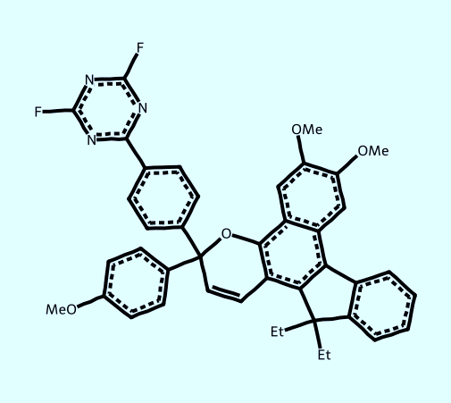 CCC1(CC)c2ccccc2-c2c1c1c(c3cc(OC)c(OC)cc23)OC(c2ccc(OC)cc2)(c2ccc(-c3nc(F)nc(F)n3)cc2)C=C1